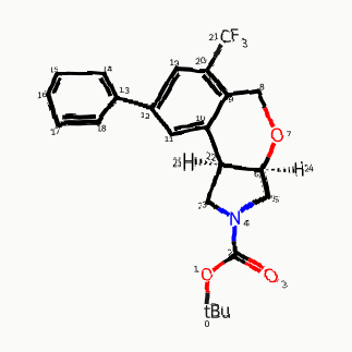 CC(C)(C)OC(=O)N1C[C@@H]2OCc3c(cc(-c4ccccc4)cc3C(F)(F)F)[C@@H]2C1